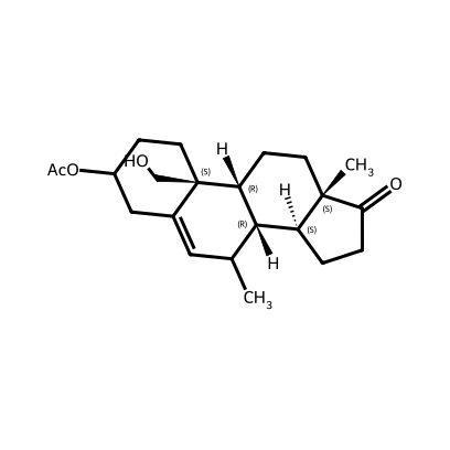 CC(=O)OC1CC[C@@]2(CO)C(=CC(C)[C@@H]3[C@H]2CC[C@]2(C)C(=O)CC[C@@H]32)C1